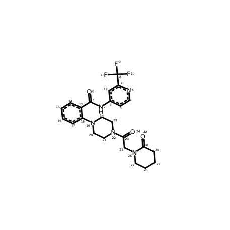 O=C(Nc1ccnc(C(F)(F)F)c1)c1ccccc1N1CCN(C(=O)CN2CCCCC2=O)CC1